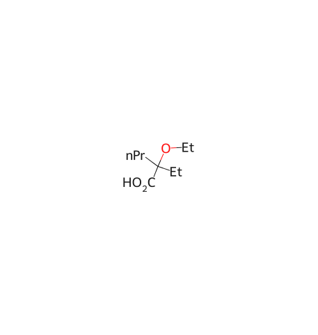 CCCC(CC)(OCC)C(=O)O